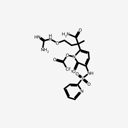 CC(CCONC(=N)N)(C(N)=O)c1ccc(NS(=O)(=O)c2ccccn2)c(=O)n1OC(=O)C(F)(F)F